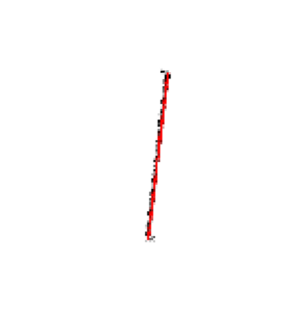 CC(=O)CCOCCCOCCCOCCCOCCCOCCCOCCCOCCCOCCCOCCCOCCCOCCCOCCCOCCCOCCCOCCCOCCCOCCCOCCCOCCCOCCCOCCCOCCCOCCCOCCOCCC(C)=O